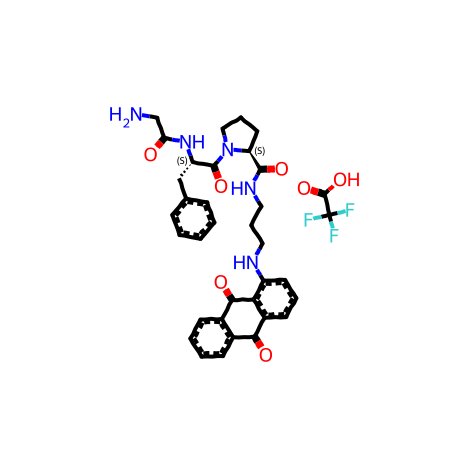 NCC(=O)N[C@@H](Cc1ccccc1)C(=O)N1CCC[C@H]1C(=O)NCCCNc1cccc2c1C(=O)c1ccccc1C2=O.O=C(O)C(F)(F)F